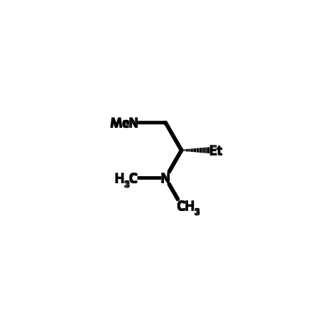 CC[C@@H](CNC)N(C)C